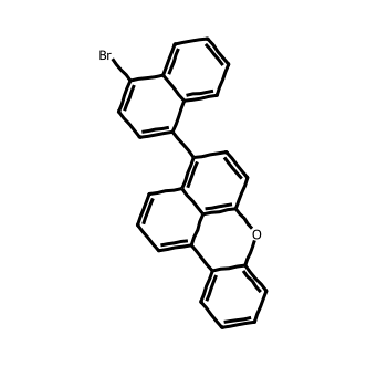 Brc1ccc(-c2ccc3c4c(cccc24)-c2ccccc2O3)c2ccccc12